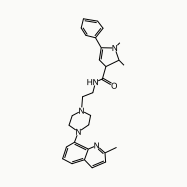 Cc1ccc2cccc(N3CCN(CCNC(=O)C4C=C(c5ccccc5)N(C)C4C)CC3)c2n1